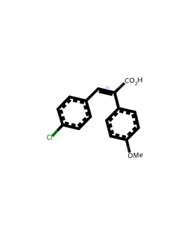 COc1ccc(/C(=C\c2ccc(Cl)cc2)C(=O)O)cc1